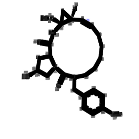 CCOC(=O)[C@@]12C[C@H]1/C=C\CCCCCN(Cc1ccc(OC)cc1)C(=O)N1C[C@@H](O)CC1C(=O)N2